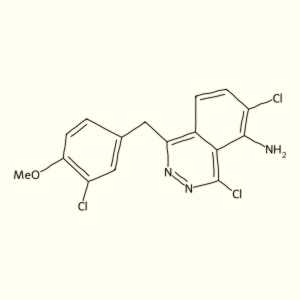 COc1ccc(Cc2nnc(Cl)c3c(N)c(Cl)ccc23)cc1Cl